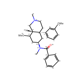 COc1cccc([C@@]23CCN(C)C[C@H]2C(OC)C[C@H](N(C)C(=O)c2ccccc2)C3)c1